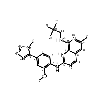 COc1cc(-c2nnnn2C)ccc1Nc1ncc2cc(C)nc(NCC(C)(C)C)c2n1